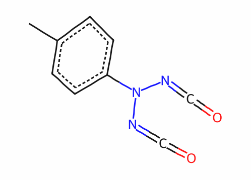 Cc1ccc(N(N=C=O)N=C=O)cc1